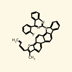 C=C/C=C\c1sc2c(ccc3c4ccc5c6ccccc6n(-c6nc(-c7ccccc7F)c7ccccc7n6)c5c4ccc32)c1C